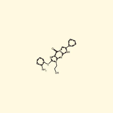 Nc1ccccc1Sc1nc2c(=O)n3cc(-c4ccccc4)[nH]c3nc2n1CCO